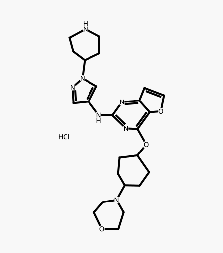 Cl.c1cc2nc(Nc3cnn(C4CCNCC4)c3)nc(OC3CCC(N4CCOCC4)CC3)c2o1